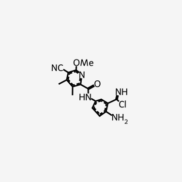 COc1nc(C(=O)Nc2ccc(N)c(C(=N)Cl)c2)c(C)c(C)c1C#N